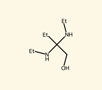 CCNC(CC)(CO)NCC